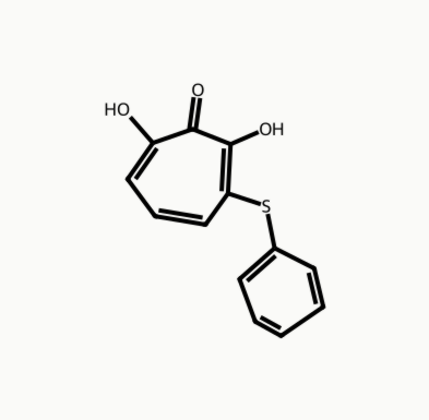 O=c1c(O)cccc(Sc2ccccc2)c1O